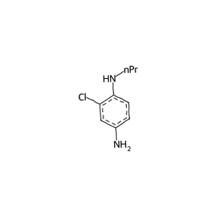 CCCNc1ccc(N)cc1Cl